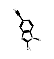 C#Cc1ccc2c(c1)nc(C(F)(F)F)n2CC